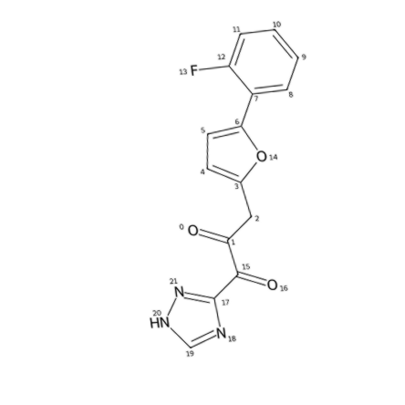 O=C(Cc1ccc(-c2ccccc2F)o1)C(=O)c1nc[nH]n1